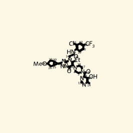 CCc1c(N2CCN(C(=O)c3ncnc(C)c3O)CC2)c(=O)n2nc(C3C4CC(OC)CC43)nc2n1CC(=O)Nc1ccc(C(F)(F)F)cc1Cl